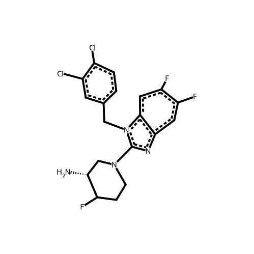 N[C@@H]1CN(c2nc3cc(F)c(F)cc3n2Cc2ccc(Cl)c(Cl)c2)CCC1F